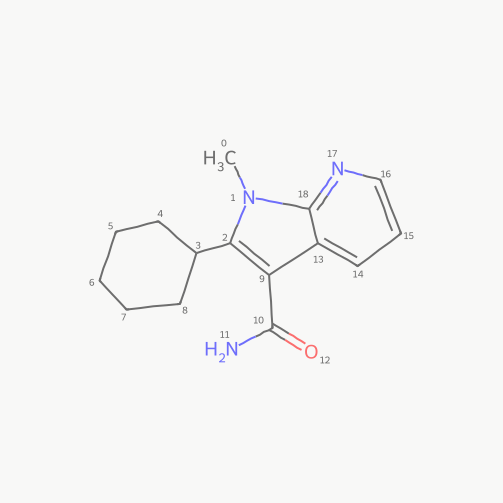 Cn1c(C2CCCCC2)c(C(N)=O)c2cccnc21